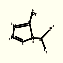 CC(C)c1nncn1C(F)F